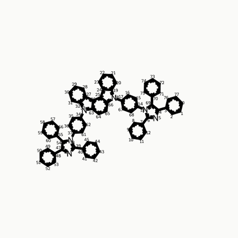 c1ccc(-c2nc(-c3ccccc3)n(-c3ccc(-n4c5ccccc5c5c6c7ccccc7n(-c7ccc(-n8c(-c9ccccc9)nc(-c9ccccc9)c8-c8ccccc8)cc7)c6ccc54)cc3)c2-c2ccccc2)cc1